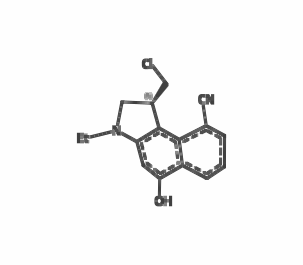 CCN1C[C@@H](CCl)c2c1cc(O)c1cccc(C#N)c21